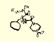 CN(C#N)C(=O)[C@H](CC1CCCCC1)NC(=O)N1CCS(=O)(=O)CC1